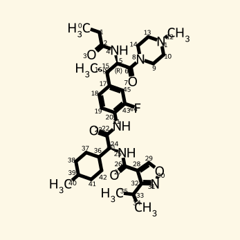 CCC(=O)N[C@@H](C(=O)N1CCN(C)CC1)[C@@H](C)c1ccc(NC(=O)[C@@H](NC(=O)c2conc2C(C)C)C2CCC(C)CC2)c(F)c1